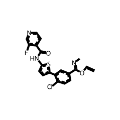 C=CO/C(=N\C)c1ccc(Cl)c(-c2ccc(NC(=O)c3ccncc3F)s2)c1